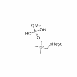 CCCCCCCC[N+](C)(C)C.COP(=O)(O)O